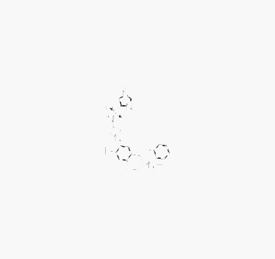 CN[C@H]1COc2cc(F)c(N3CC(NS(=O)(=O)c4cn(C)cn4)C3)cc2[C@@H]1Cc1ccccc1